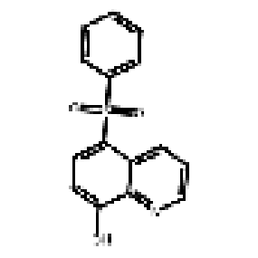 O=S(=O)(c1ccccc1)c1ccc(O)c2ncccc12